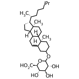 CC(C)CCC[C@@H](C)[C@H]1CC[C@H]2[C@@H]3CC=C4CC(OC5O[C@H](C(=O)O)[C@@H](O)[C@H](O)[C@H]5O)CC[C@]4(C)[C@H]3CC[C@]12C